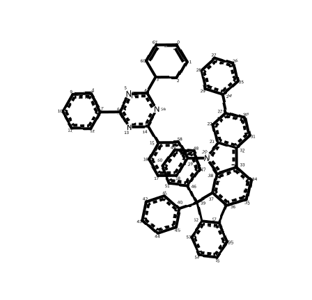 C1=CCC(c2nc(-c3ccccc3)nc(-c3cccc(-n4c5cc(-c6ccccc6)ccc5c5ccc6c(c54)C(c4ccccc4)(c4ccccc4)c4ccccc4-6)c3)n2)C=C1